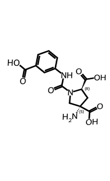 N[C@@]1(C(=O)O)C[C@H](C(=O)O)N(C(=O)Nc2cccc(C(=O)O)c2)C1